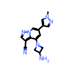 Cn1cc(-c2cc(N3CC(N)C3)c3c(C#N)cnn3c2)cn1